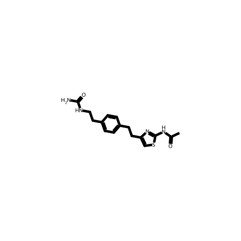 CC(=O)Nc1nc(CCc2ccc(CCNC(N)=O)cc2)cs1